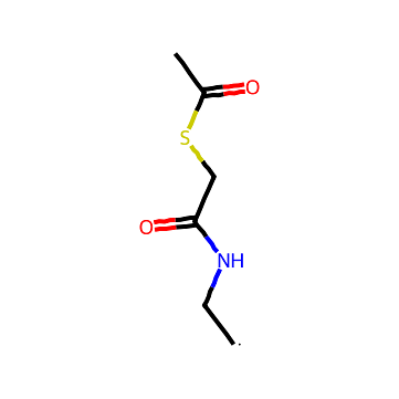 [CH2]CNC(=O)CSC(C)=O